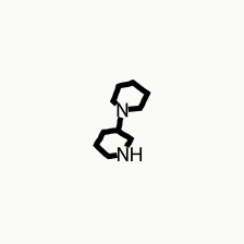 C1CCN(C2CCCNC2)CC1